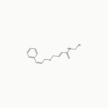 CC(C)CNC(=O)/C=C/COC/C=C\c1ccccc1